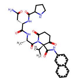 CC(C)[C@]1(C(=O)Nc2ccc3ccccc3c2)C(=O)CCC(=O)N1C(=O)[C@H](C)NC(=O)[C@H](CC(N)=O)NC(=O)C1CCCN1